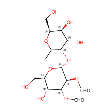 CC1O[C@@H](CO)[C@@H](O)[C@H](O)[C@@H]1O[C@H]1O[C@H](CO)[C@@H](O)[C@@H](OC=O)[C@@H]1OC=O